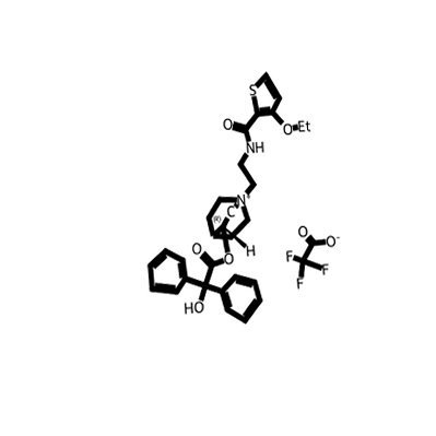 CCOc1ccsc1C(=O)NCC[N+]12CCC(CC1)[C@@H](OC(=O)C(O)(c1ccccc1)c1ccccc1)C2.O=C([O-])C(F)(F)F